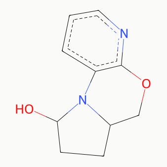 OC1CCC2COc3ncccc3N12